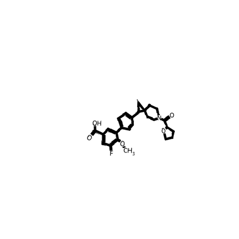 COc1c(F)cc(C(=O)O)cc1-c1ccc(C2CC23CCN(C(=O)C2CCCO2)CC3)cc1